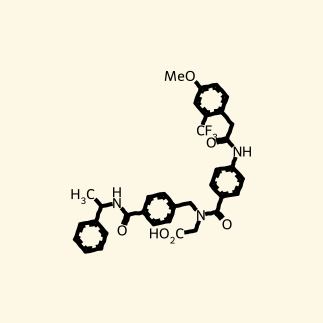 COc1ccc(CC(=O)Nc2ccc(C(=O)N(CC(=O)O)Cc3ccc(C(=O)NC(C)c4ccccc4)cc3)cc2)c(C(F)(F)F)c1